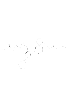 CNC(=O)OCCN(C)Cc1cn(C2CCCCO2)nc1C1CCC(OCCCOC)C2(CCCC2)C1